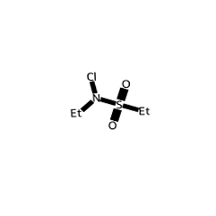 CCN(Cl)S(=O)(=O)CC